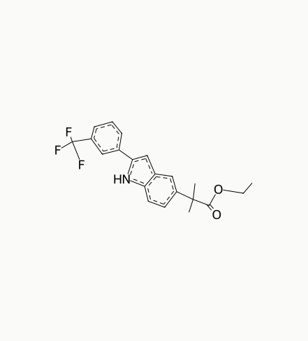 CCOC(=O)C(C)(C)c1ccc2[nH]c(-c3cccc(C(F)(F)F)c3)cc2c1